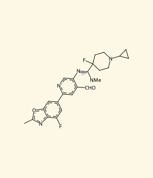 CN/C(=N\c1cnc(-c2cc(F)c3nc(C)oc3c2)cc1C=O)C1(F)CCN(C2CC2)CC1